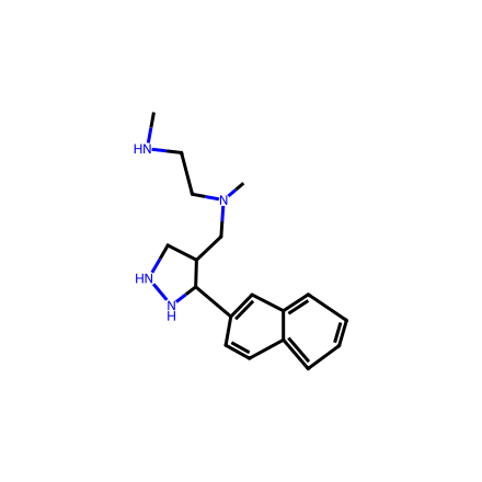 CNCCN(C)CC1CNNC1c1ccc2ccccc2c1